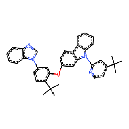 CC(C)(C)c1ccnc(-n2c3ccccc3c3ccc(Oc4cc(-n5cnc6ccccc65)ccc4C(C)(C)C)cc32)c1